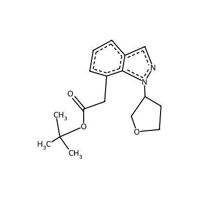 CC(C)(C)OC(=O)Cc1cccc2cnn(C3CCOC3)c12